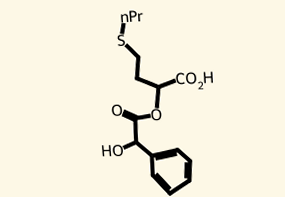 CCCSCCC(OC(=O)C(O)c1ccccc1)C(=O)O